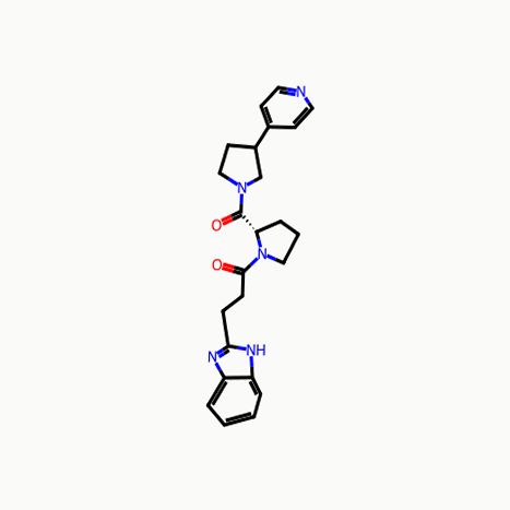 O=C([C@@H]1CCCN1C(=O)CCc1nc2ccccc2[nH]1)N1CCC(c2ccncc2)C1